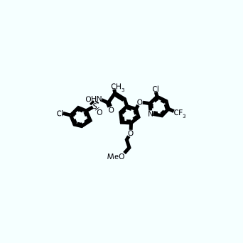 COCCOc1ccc(C=C(C)C(=O)NS(=O)(=O)c2cccc(Cl)c2)c(Oc2ncc(C(F)(F)F)cc2Cl)c1